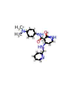 CN(C)c1ccc(NC(=O)c2c(NCc3ccccn3)cc[nH]c2=O)cc1